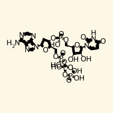 Nc1ncnc2c1ncn2[C@H]1C[C@H](OP(=O)(O)OC[C@H]2O[C@@H](n3ccc(=O)[nH]c3=O)[C@H](O)[C@@H]2O)[C@@H](COP(=O)(O)OP(=O)(O)OP(=O)(O)O)O1